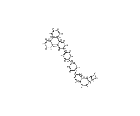 C1=C2c3ccc4ccc(-c5ccc(-c6ccc(-c7ccc8c9ccccc9c9ccccc9c8c7)cc6)cc5)nc4c3N2C1